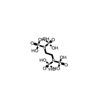 O=P(O)(O)N(CCN(P(=O)(O)O)P(=O)(O)O)P(=O)(O)O